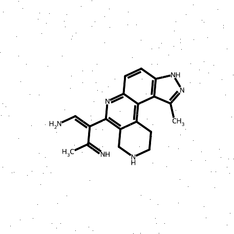 CC(=N)/C(=C\N)c1nc2ccc3[nH]nc(C)c3c2c2c1CNCC2